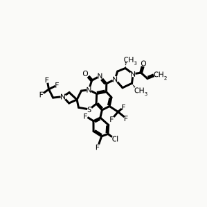 C=CC(=O)N1[C@H](C)CN(c2nc(=O)n3c4c(c(-c5cc(Cl)c(F)cc5F)c(C(F)(F)F)cc24)SCC2(CN(CC(F)(F)F)C2)C3)C[C@@H]1C